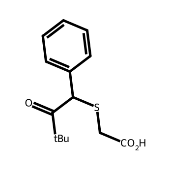 CC(C)(C)C(=O)C(SCC(=O)O)c1ccccc1